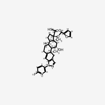 C[C@]12Cc3cnn(-c4ccc(F)nc4)c3C=C1CC[C@@H]1C2[C@@H](O)C[C@@]2(C)C1CC[C@]2(OC(=O)c1ccco1)C(=O)S